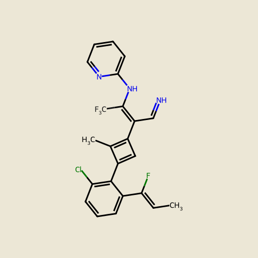 C/C=C(\F)c1cccc(Cl)c1C1=CC(/C(C=N)=C(/Nc2ccccn2)C(F)(F)F)=C1C